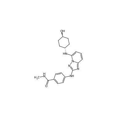 CNC(=O)c1ccc(Nc2nc3cccc(N[C@H]4CC[C@H](O)CC4)n3n2)cc1